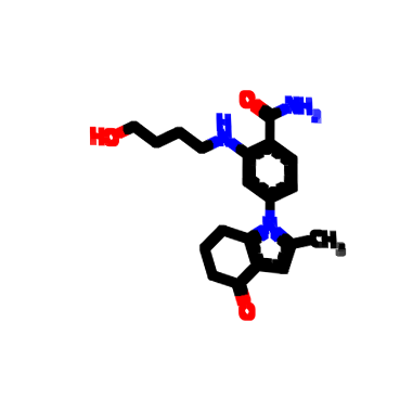 Cc1cc2c(n1-c1ccc(C(N)=O)c(NCCCCO)c1)CCCC2=O